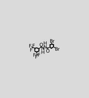 O=C(NNC(=O)c1cc(C(F)(F)F)cc(C(F)(F)F)c1)c1cc(Br)cc(Br)c1